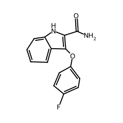 NC(=O)c1[nH]c2ccccc2c1Oc1ccc(F)cc1